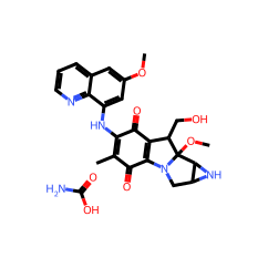 COc1cc(NC2=C(C)C(=O)C3=C(C2=O)C(CO)C2(OC)C4NC4CN32)c2ncccc2c1.NC(=O)O